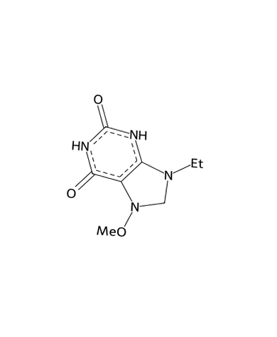 CCN1CN(OC)c2c1[nH]c(=O)[nH]c2=O